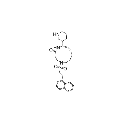 O=C1CCN(S(=O)(=O)CCc2cccc3ccccc23)CCCC=C=C(C2CCCNC2)N1